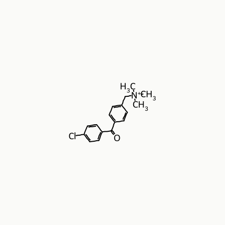 C[N+](C)(C)Cc1ccc(C(=O)c2ccc(Cl)cc2)cc1